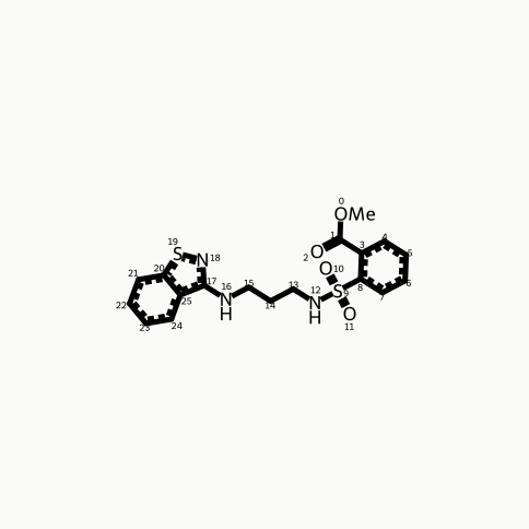 COC(=O)c1ccccc1S(=O)(=O)NCCCNc1nsc2ccccc12